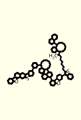 C=C(CC/C=C/C=C/c1sc2ccccc2c1C1=CC2Oc3cccc(-c4ccc(-c5ccccccc(-c6cccc(-c7ccc8sc9cc%10c(ccc%11c%12ccccc%12oc%10%11)cc9c8c7)c6)c6ccccc56)c5ccccc45)c3C2C=C1)c1ccccccc(-c2cccc3ccccc23)c2ccccc12